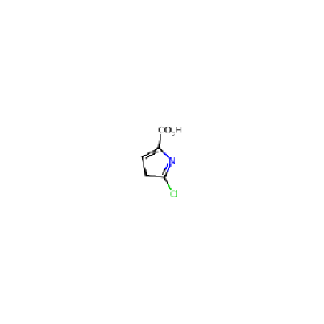 O=C(O)C1=CCC(Cl)=N1